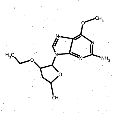 CCOC1CC(C)OC1n1cnc2c(OC)nc(N)nc21